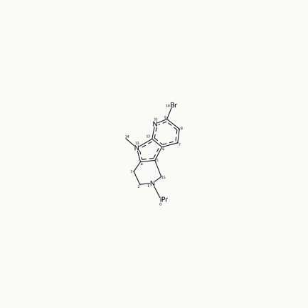 CC(C)N1CCc2c(c3ccc(Br)nc3n2C)C1